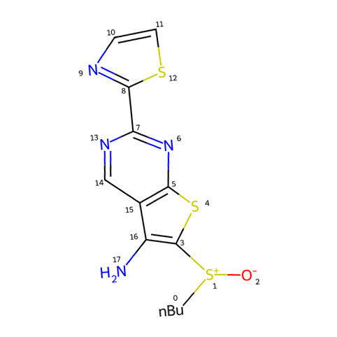 CCCC[S+]([O-])c1sc2nc(-c3nccs3)ncc2c1N